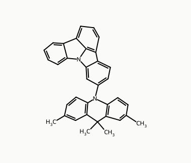 Cc1ccc2c(c1)C(C)(C)c1cc(C)ccc1N2c1ccc2c3cccc4c5ccccc5n(c2c1)c43